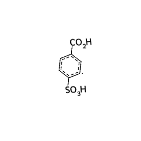 O=C(O)c1c[c]c(S(=O)(=O)O)cc1